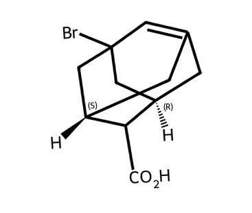 O=C(O)C1[C@@H]2CC3=CC(Br)(C2)C[C@@H]1C3